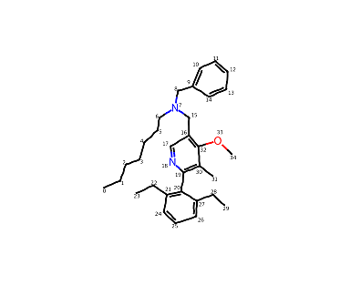 CCCCCCCN(Cc1ccccc1)Cc1cnc(-c2c(CC)cccc2CC)c(C)c1OC